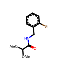 COC(OC)C(=O)NCc1ccccc1Br